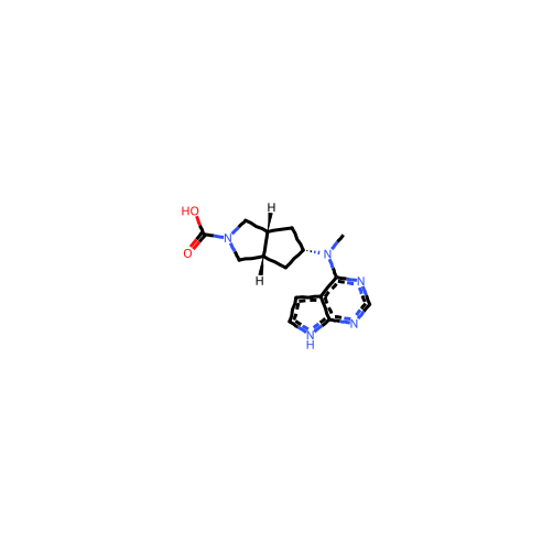 CN(c1ncnc2[nH]ccc12)[C@@H]1C[C@@H]2CN(C(=O)O)C[C@@H]2C1